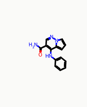 NC(=O)c1cnn2cccc2c1Nc1ccccc1